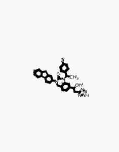 CC(NC(=O)N(Cc1ccc(C(O)Cc2nn[nH]n2)cc1)c1ccc2c(c1)Cc1ccccc1-2)c1ccc(Br)cc1